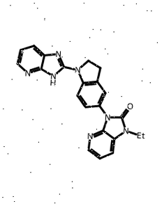 CCn1c(=O)n(-c2ccc3c(c2)CCN3c2nc3cccnc3[nH]2)c2ncccc21